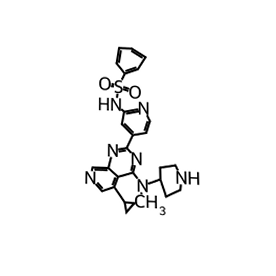 CN(c1nc(-c2ccnc(NS(=O)(=O)c3ccccc3)c2)nc2cncc(C3CC3)c12)C1CCNCC1